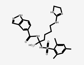 Cc1cc(C)c(S(=O)(=O)NC(CCCCNC2=NCCN2)(NC(=O)c2ccc3[nH]ncc3c2)C(=O)O)c(C)c1